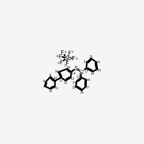 [F][Sb-]([F])([F])([F])([F])[F].c1ccc(-c2ccc(S[S+](c3ccccc3)c3ccccc3)cc2)cc1